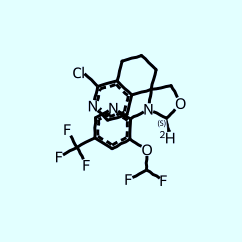 [2H][C@@H]1OCC2(CCCc3c2ccnc3Cl)N1c1ncc(C(F)(F)F)cc1OC(F)F